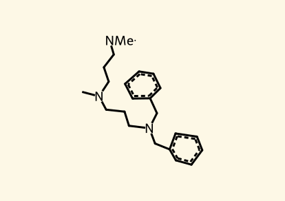 C[N]CCCN(C)CCCN(Cc1ccccc1)Cc1ccccc1